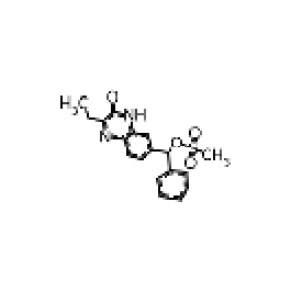 CCc1nc2ccc(C(OS(C)(=O)=O)c3ccccc3)cc2[nH]c1=O